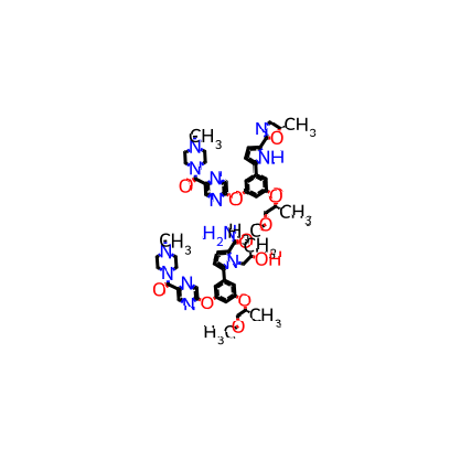 COC[C@H](C)Oc1cc(Oc2cnc(C(=O)N3CCN(C)CC3)cn2)cc(-c2ccc(C(N)=O)n2C[C@@H](C)O)c1.COC[C@H](C)Oc1cc(Oc2cnc(C(=O)N3CCN(C)CC3)cn2)cc(-c2ccc(C3=NC[C@H](C)O3)[nH]2)c1